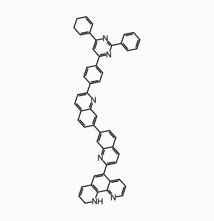 C1=CC(c2cc(-c3ccc(-c4ccc5ccc(-c6ccc7ccc(-c8cc9c(c%10ncccc8%10)NCC=C9)nc7c6)cc5n4)cc3)nc(-c3ccccc3)n2)=CCC1